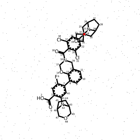 O=C(O)c1cc(F)c(-c2cccc3c2OCN(C(=O)c2c(Cl)cc(N4CC5CCC(C4)N5C4COC4)cc2Cl)C3)cc1N1C2CCC1COC2